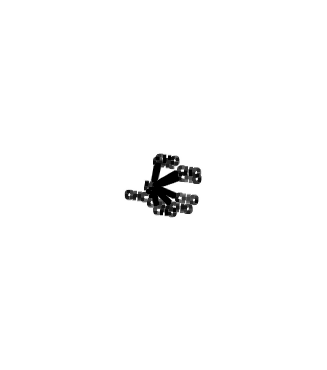 CC(=O)[O][Ni]([CH]=O)([CH]=O)([CH]=O)([CH]=O)([CH]=O)([CH]=O)([CH]=O)[CH]=O